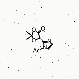 CC(=O)n1ccnc1[C@@H]1OC(C)(C)OC1=O